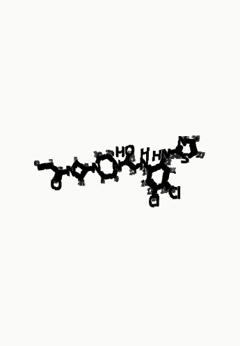 C=CC(=O)N1CC(N2CCN(C(O)CNc3cc(Cl)c(Cl)cc3Nc3nccs3)CC2)C1